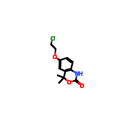 CC1(C)OC(=O)Nc2ccc(OCCCl)cc21